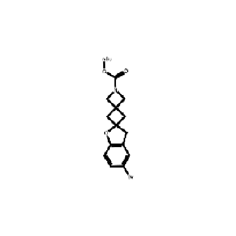 CCCCOC(=O)N1CC2(C1)CC1(Cc3cc(Br)ccc3O1)C2